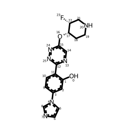 Oc1cc(-n2ccnc2)ccc1-c1ncc(O[C@H]2CCNC[C@H]2F)nn1